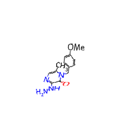 COc1ccc(Cn2c(C)cnc(NN)c2=O)cc1